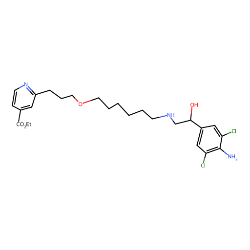 CCOC(=O)c1ccnc(CCCOCCCCCCNCC(O)c2cc(Cl)c(N)c(Cl)c2)c1